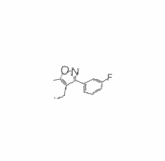 [CH2]Cc1c(-c2cccc(F)c2)noc1C